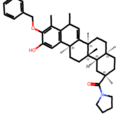 Cc1c(OCc2ccccc2)c(O)cc2c1C(C)C=C1[C@@]2(C)CC[C@@]2(C)[C@@H]3C[C@](C)(C(=O)N4CCCC4)CC[C@]3(C)CC[C@]12C